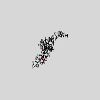 CC1(C)CCC(CN2CCN(c3cccc(C(=O)NS(=O)(=O)c4cnc(N[C@H]5CC[C@H](C6CNCCO6)CC5)c(C#N)c4)c3Oc3cnc4[nH]ccc4c3)CC2)=C(c2ccc(Cl)cc2)C1